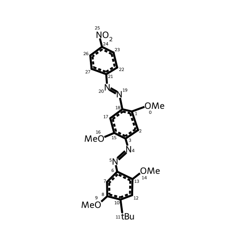 COc1cc(N=Nc2cc(OC)c(C(C)(C)C)cc2OC)c(OC)cc1N=Nc1ccc([N+](=O)[O-])cc1